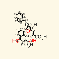 C/C(=C\c1ccco1)C(=O)O.O=C(O)C1C(CO)Cc2ccccc2C1O.O=C(O)CC1C2CC3CC(C2)CC1C3